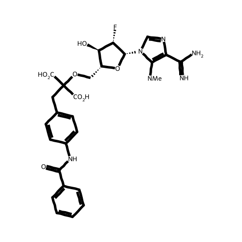 CNc1c(C(=N)N)ncn1[C@@H]1O[C@H](COC(Cc2ccc(NC(=O)c3ccccc3)cc2)(C(=O)O)C(=O)O)[C@@H](O)[C@@H]1F